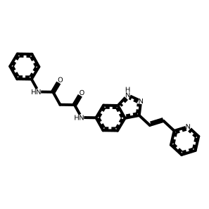 O=C(CC(=O)Nc1ccc2c(C=Cc3ccccn3)n[nH]c2c1)Nc1ccccc1